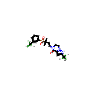 CC(C)(CCN1CCn2nc(C(F)(F)F)cc2C1=O)S(=O)(=O)c1cccc(C(F)(F)F)c1